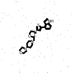 c1cc(-c2cc(N3CCOC(CN4CCC(N5CCOCC5)CC4)C3)cs2)c2cc[nH]c2c1